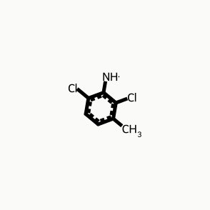 Cc1ccc(Cl)c([NH])c1Cl